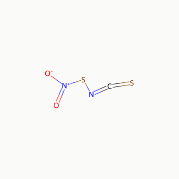 O=[N+]([O-])SN=C=S